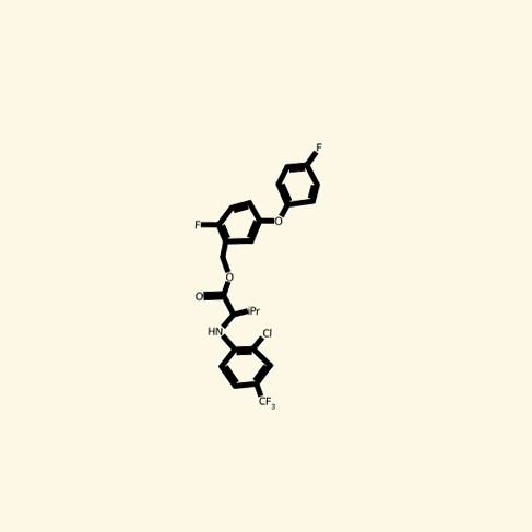 CC(C)C(Nc1ccc(C(F)(F)F)cc1Cl)C(=O)OCc1cc(Oc2ccc(F)cc2)ccc1F